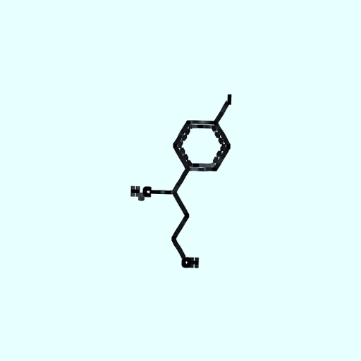 CC(CCO)c1ccc(I)cc1